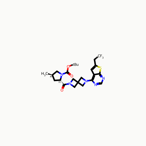 C[C@@H]1C[C@@H](C(=O)N2CC3(C2)CN(c2ncnc4sc(CC(F)(F)F)cc24)C3)N(C(=O)OC(C)(C)C)C1